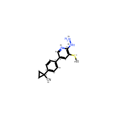 CCSc1cc(-c2ccc(C3(C#N)CC3)cc2)cnc1NN